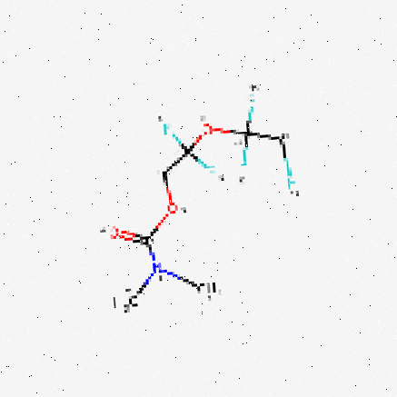 CN(C)C(=O)OCC(F)(F)OC(F)(F)CF